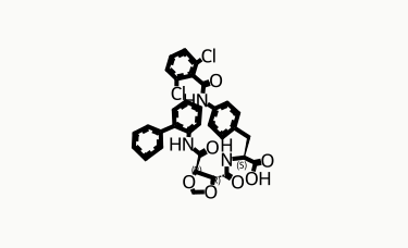 O=C(Nc1ccc(C[C@H](NC(=O)[C@@H]2OCO[C@H]2C(=O)Nc2ccccc2-c2ccccc2)C(=O)O)cc1)c1c(Cl)cccc1Cl